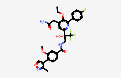 CCOc1c(CC(N)=O)cc([C@@](O)(CNC(=O)c2ccc(-c3conc3C)c(OC)c2)C(F)(F)F)nc1-c1ccc(F)cc1